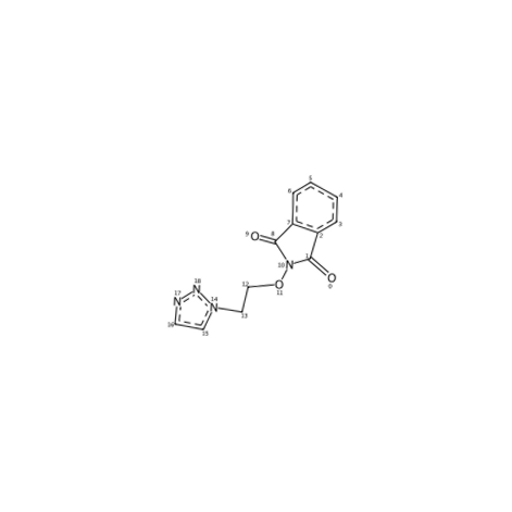 O=C1c2ccccc2C(=O)N1OCCn1ccnn1